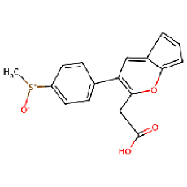 C[S+]([O-])c1ccc(-c2cc3cccc-3oc2CC(=O)O)cc1